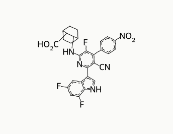 N#Cc1c(-c2c[nH]c3c(F)cc(F)cc23)nc(NC2C3CCC(CC3)C2C(=O)O)c(F)c1-c1ccc([N+](=O)[O-])cc1